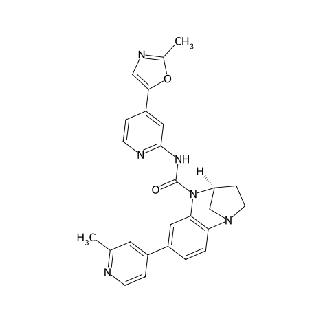 Cc1cc(-c2ccc3c(c2)N(C(=O)Nc2cc(-c4cnc(C)o4)ccn2)[C@H]2CCN3C2)ccn1